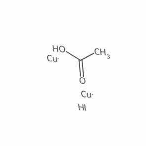 CC(=O)O.I.[Cu].[Cu]